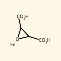 O=C(O)C1OC1C(=O)O.[Fe]